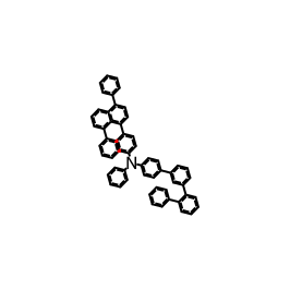 c1ccc(-c2ccccc2-c2cccc(-c3ccc(N(c4ccccc4)c4ccc(-c5ccc(-c6ccccc6)c6cccc(-c7ccccc7)c56)cc4)cc3)c2)cc1